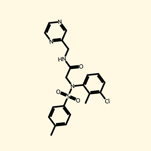 Cc1ccc(S(=O)(=O)N(CC(=O)NCc2cnccn2)c2cccc(Cl)c2C)cc1